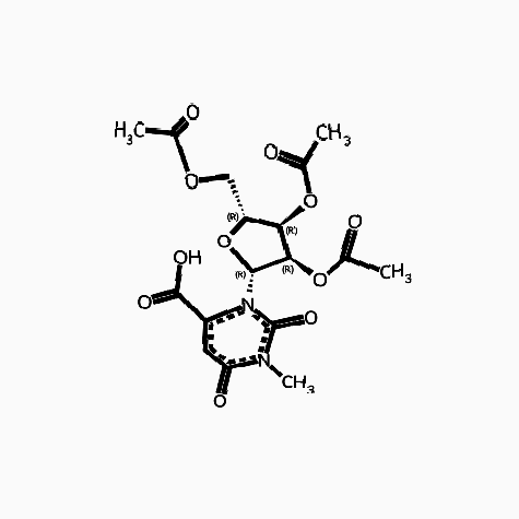 CC(=O)OC[C@H]1O[C@@H](n2c(C(=O)O)cc(=O)n(C)c2=O)[C@H](OC(C)=O)[C@@H]1OC(C)=O